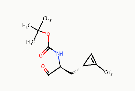 CC1=C[C@H]1C[C@@H](C=O)NC(=O)OC(C)(C)C